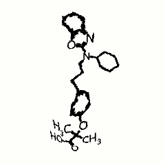 CC(C)(Oc1ccc(CCCN(c2nc3ccccc3o2)C2CCCCC2)cc1)C(=O)O